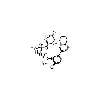 CC(C)n1cc(-c2ccc3c(c2)[C@H](C(NC(=O)OC(C)(C)C)C(=O)O)CCC3)ccc1=O